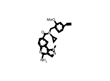 C#Cc1ccc(CN(C(=O)c2ccc3nc(N)c4cnn(C)c4c3c2)C2CC2)c(OC)c1